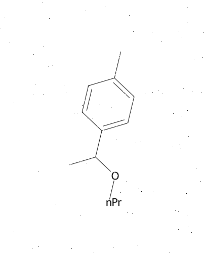 CCCOC(C)c1ccc(C)cc1